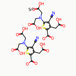 N#Cc1c(N(CC(=O)O)CC(=O)O)sc(C(=O)[O-])c1CC(=O)O.N#Cc1c(N(CC(=O)O)CC(=O)O)sc(C(=O)[O-])c1CC(=O)O.[Sr+2]